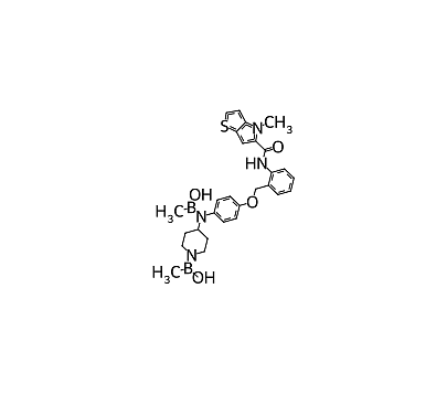 CB(O)N1CCC(N(B(C)O)c2ccc(OCc3ccccc3NC(=O)c3cc4sccc4n3C)cc2)CC1